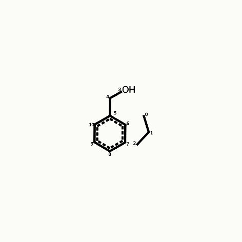 CCC.OCc1ccccc1